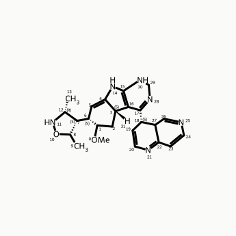 COC1C[C@@H]2C(=C[C@H]1[C@@H]1C(C)ON[C@@H]1C)NC1=C2C([C@H]2C=CN=C3C=CN=CC32)=NCN1